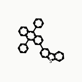 c1ccc(-c2c3ccccc3c(-c3ccccc3)c3cc(-c4ccc5sc6ccccc6c5c4)ccc23)cc1